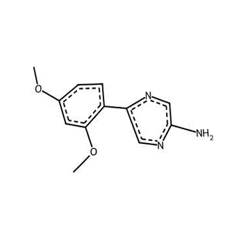 COc1ccc(-c2cnc(N)cn2)c(OC)c1